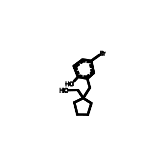 OCC1(Cc2cc(Br)ccc2O)CCCC1